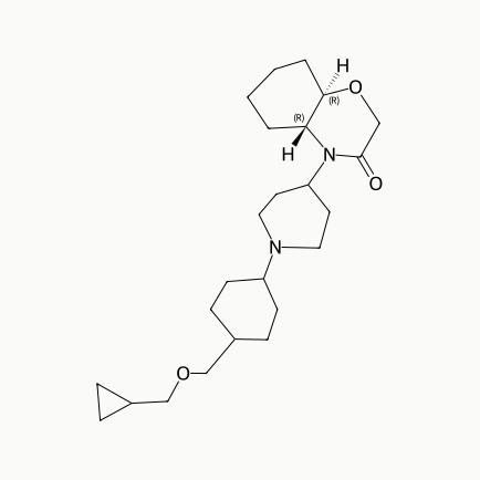 O=C1CO[C@@H]2CCCC[C@H]2N1C1CCN(C2CCC(COCC3CC3)CC2)CC1